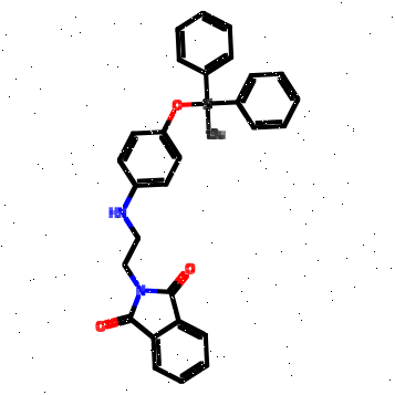 CC(C)(C)[Si](Oc1ccc(NCCN2C(=O)c3ccccc3C2=O)cc1)(c1ccccc1)c1ccccc1